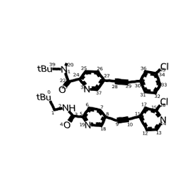 CC(C)(C)CNC(=O)c1ccc(C#Cc2ccnc(Cl)c2)cn1.CN(C(=O)c1ccc(C#Cc2cccc(Cl)c2)cn1)C(C)(C)C